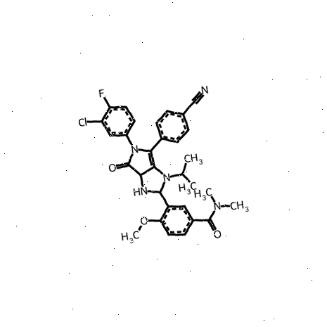 COc1ccc(C(=O)N(C)C)cc1C1NC2C(=O)N(c3ccc(F)c(Cl)c3)C(c3ccc(C#N)cc3)=C2N1C(C)C